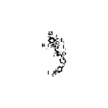 COc1cc(C)c(S(=O)(=O)N(C)Cc2nc(C(=O)N3CCN(CC4CCN(C)CC4)CC3)co2)c(C)c1